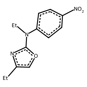 CCc1coc(N(CC)c2ccc([N+](=O)[O-])cc2)n1